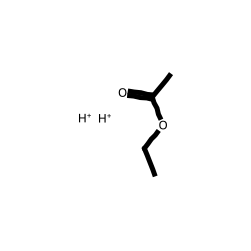 CCOC(C)=O.[H+].[H+]